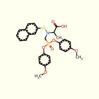 COc1ccc(OP(=O)(CN(Sc2ccc3ccccc3c2)C(C)C(=O)O)Oc2ccc(OC)cc2)cc1